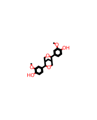 COc1cc(C2OCC3CC2COC3c2ccc(O)c(OC)c2)ccc1O